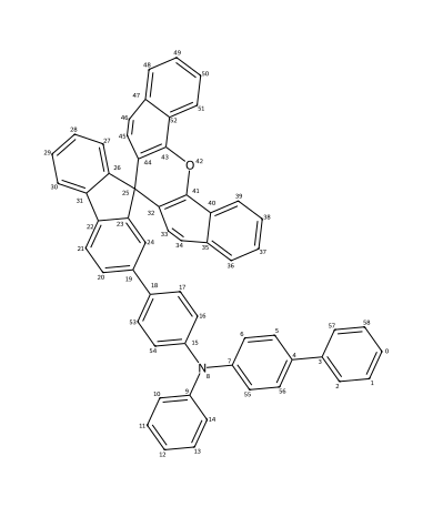 c1ccc(-c2ccc(N(c3ccccc3)c3ccc(-c4ccc5c(c4)C4(c6ccccc6-5)c5ccc6ccccc6c5Oc5c4ccc4ccccc54)cc3)cc2)cc1